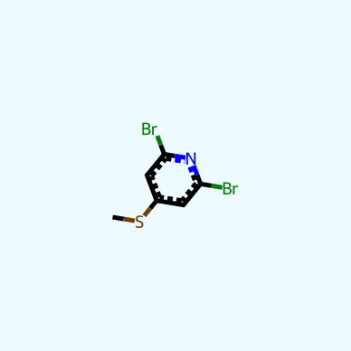 CSc1cc(Br)nc(Br)c1